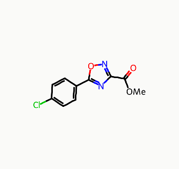 COC(=O)c1noc(-c2ccc(Cl)cc2)n1